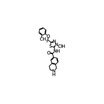 Cc1ccccc1OCc1nnc(NC(=O)c2ccc3c(c2)CCNC3)s1.Cl